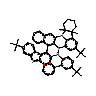 CC(C)(C)c1ccc(N2B3c4cc(C(C)(C)C)cc5c4N(c4cc6ccccc6c(c43)-c3c2ccc2oc4cc(C(C)(C)C)ccc4c32)C2(C)CCCCC52C)c(-c2ccccc2)c1